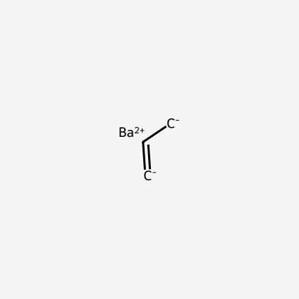 [Ba+2].[CH-]=C[CH2-]